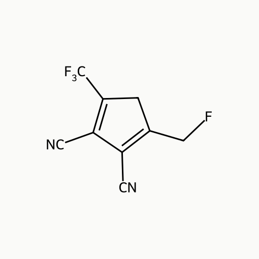 N#CC1=C(CF)CC(C(F)(F)F)=C1C#N